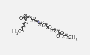 CCCCCC[C@@H]1C(=O)O[C@H]1CCCC/C=C/COCCOCCOCC(=O)OCCCC